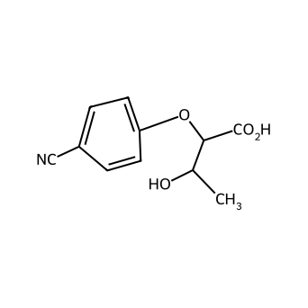 CC(O)C(Oc1ccc(C#N)cc1)C(=O)O